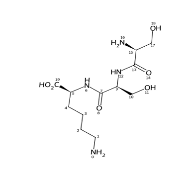 NCCCC[C@H](NC(=O)[C@H](CO)NC(=O)[C@@H](N)CO)C(=O)O